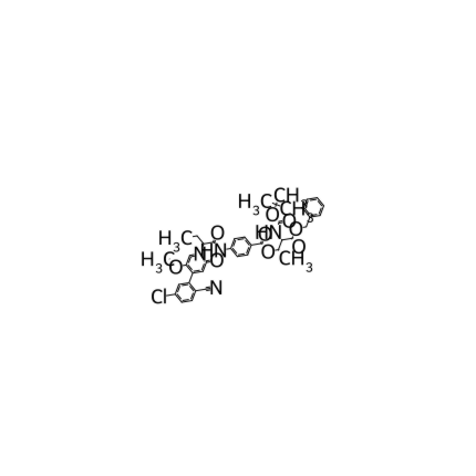 CCC(C(=O)Nc1ccc(C(=O)O[C@H](C)[C@H](NC(=O)OC(C)(C)C)C(=O)OCc2ccccc2)cc1)n1cc(OC)c(-c2cc(Cl)ccc2C#N)cc1=O